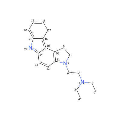 CCN(CC)CCN1CCc2c1ccc1c2=C2CC=CC=C2N=1